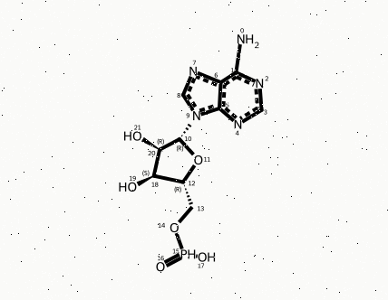 Nc1ncnc2c1ncn2[C@@H]1O[C@H](CO[PH](=O)O)[C@@H](O)[C@H]1O